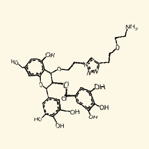 NCCOCCc1cn(CCOC2c3c(O)cc(O)cc3OC(c3cc(O)c(O)c(O)c3)C2OC(=O)c2cc(O)c(O)c(O)c2)nn1